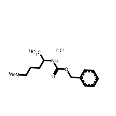 CNCCCC(NC(=O)OCc1ccccc1)C(=O)O.Cl